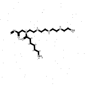 C=NC(=O)CN(CCOCCOCCOCCO)C(=O)CCCCCN